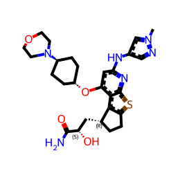 Cn1cc(Nc2cc(O[C@H]3CC[C@H](N4CCOCC4)CC3)c3c4c(sc3n2)CC[C@@H]4C[C@H](O)C(N)=O)cn1